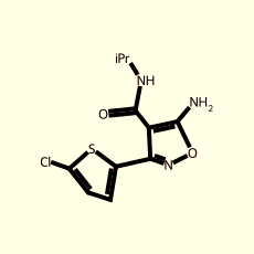 CC(C)NC(=O)c1c(-c2ccc(Cl)s2)noc1N